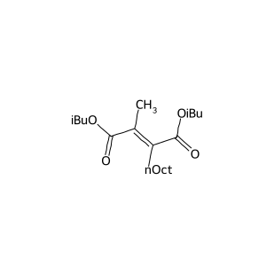 CCCCCCCCC(C(=O)OCC(C)C)=C(C)C(=O)OCC(C)C